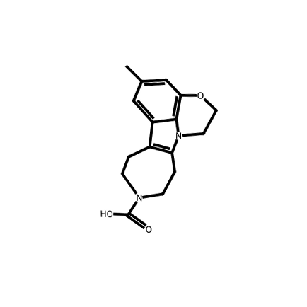 Cc1cc2c3c(c1)c1c(n3CCO2)CCN(C(=O)O)CC1